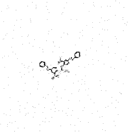 CC(Oc1ccc(OCc2ccccc2)cc1[N+](=O)[O-])Oc1ccc(OCc2ccccc2)cc1[N+](=O)[O-]